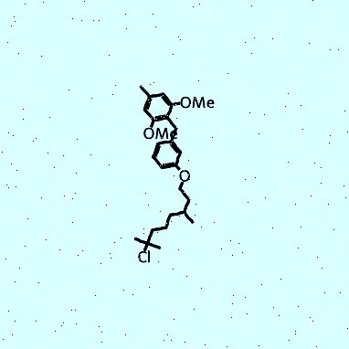 COc1cc(C)cc(OC)c1Cc1cccc(OCCC(C)CCCC(C)(C)Cl)c1